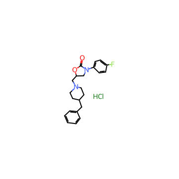 Cl.O=C1OC(CN2CCC(Cc3ccccc3)CC2)CN1c1ccc(F)cc1